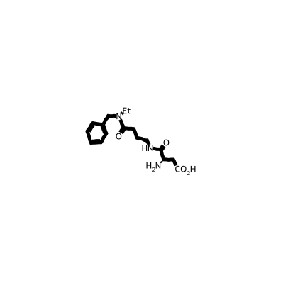 CCN(Cc1ccccc1)C(=O)CCCNC(=O)[C@@H](N)CC(=O)O